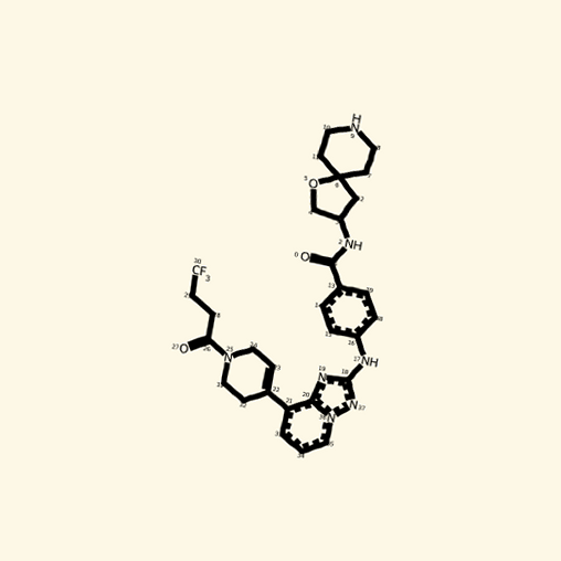 O=C(NC1COC2(CCNCC2)C1)c1ccc(Nc2nc3c(C4=CCN(C(=O)CCC(F)(F)F)CC4)cccn3n2)cc1